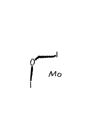 IOI.[Mo]